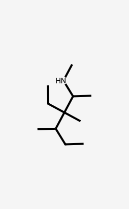 CCC(C)C(C)(CC)C(C)NC